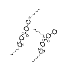 CCCCCCCSc1ccc(-c2ccc(C(=O)Oc3ccc(-c4ncc(CCCCCC)cn4)cc3)cc2)cc1.CCCCCCSC1(C(=O)Oc2ccc(-c3ncc(CCCCCC)cn3)cc2)C=CC(c2ccccc2)=CC1